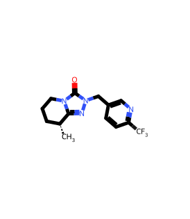 C[C@@H]1CCCn2c1nn(Cc1ccc(C(F)(F)F)nc1)c2=O